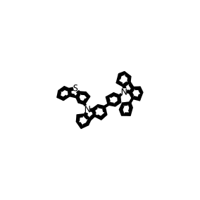 c1ccc(-c2cccc3c4ccccc4n(-c4ccc(-c5ccc6c7ccccc7n(-c7ccc8sc9ccccc9c8c7)c6c5)cc4)c23)cc1